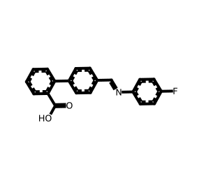 O=C(O)c1ccccc1-c1ccc(C=Nc2ccc(F)cc2)cc1